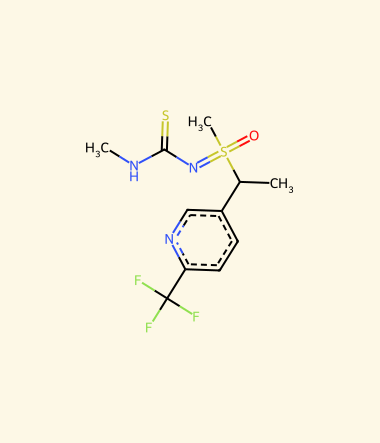 CNC(=S)N=S(C)(=O)C(C)c1ccc(C(F)(F)F)nc1